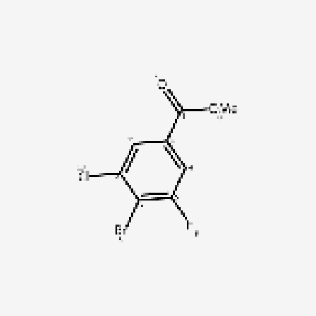 COC(=O)c1cc(F)c(Br)c(Cl)c1